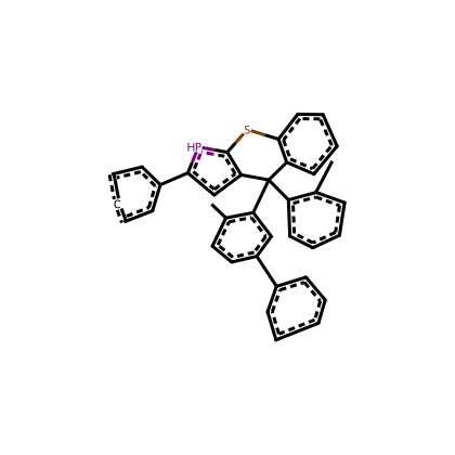 Cc1ccccc1C1(c2cc(-c3ccccc3)ccc2C)c2ccccc2Sc2[pH]c(-c3ccccc3)cc21